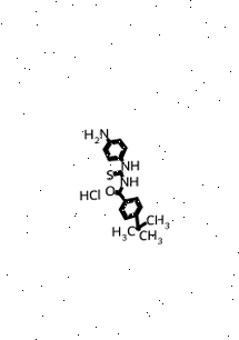 CC(C)(C)c1ccc(C(=O)NC(=S)Nc2ccc(N)cc2)cc1.Cl